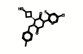 Cc1ccc(CN2C(=O)CN(c3ncc(Cl)cc3F)C(=O)C2[C@H]2C[C@H](O)C2)cc1